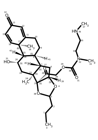 CCCC1O[C@H]2C[C@H]3[C@@H]4CCC5=CC(=O)C=C[C@]5(C)[C@H]4[C@@H](O)C[C@]3(C)[C@]2(C(=O)COC(=O)N(C)CCNC)O1